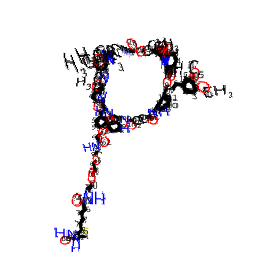 COc1ccc(CC[C@H]2OC(=O)[C@@H]3CCCCN3C(=O)C(=O)C(C)(C)COC(=O)/C=C/CCN(C)C(=O)[C@H](CC(C)C)N(C)C(=O)[C@@H]3CCCN3C(=O)[C@H](Cc3ccc(OCC(=O)NCCOCCOCCNC(=O)CCCCC4SCC5NC(=O)NC54)cc3)NC(=O)[C@H](c3ccccc3)NC(=O)CCC(=O)Nc3cccc2c3)cc1OC